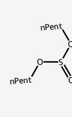 CCCCCOS(=O)OCCCCC